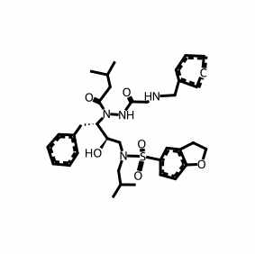 CC(C)CC(=O)N(NC(=O)CNCc1ccccc1)[C@@H](Cc1ccccc1)[C@H](O)CN(CC(C)C)S(=O)(=O)c1ccc2c(c1)CCO2